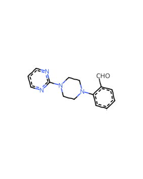 O=Cc1cc[c]cc1N1CCN(c2ncccn2)CC1